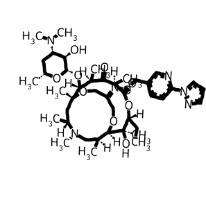 CC[C@H]1OC(=O)[C@H](C)C(=O)[C@H](C)[C@@H](O[C@@H]2O[C@H](C)C[C@H](N(C)C)[C@H]2O)[C@@]2(C)C[C@@H](C)N(C)C[C@H](C)[C@@H](OC/C(=N\OCc3ccc(-n4cccn4)nc3)CO2)[C@]1(C)O